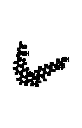 CC(=O)C[C@H](O)CN1CCc2c(ccc(-c3cccc(-c4cccc(-c5ccc6c(c5C)CCN(C[C@@H](O)CC(=O)O)C6)c4Cl)c3Cl)c2C)C1